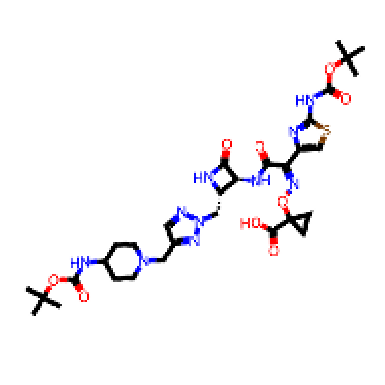 CC(C)(C)OC(=O)Nc1nc(C(=NOC2(C(=O)O)CC2)C(=O)N[C@@H]2C(=O)N[C@H]2Cn2ncc(CN3CCC(NC(=O)OC(C)(C)C)CC3)n2)cs1